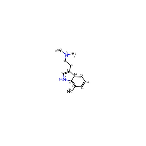 CCCN(CC)CCc1c[nH]c2c(C#N)cccc12